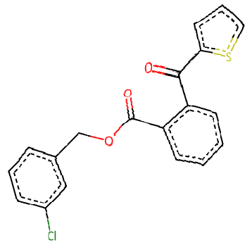 O=C(OCc1cccc(Cl)c1)c1ccccc1C(=O)c1cccs1